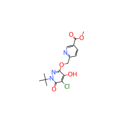 COC(=O)c1ccc(COc2nn(C(C)(C)C)c(=O)c(Cl)c2O)nc1